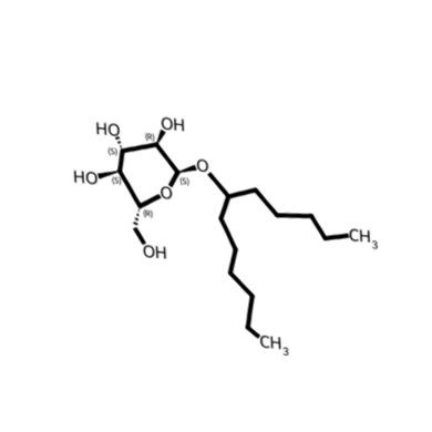 CCCCCCC(CCCCC)O[C@H]1O[C@H](CO)[C@@H](O)[C@H](O)[C@H]1O